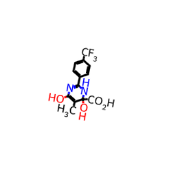 CC1=C(O)N=C(c2ccc(C(F)(F)F)cc2)NC1(O)C(=O)O